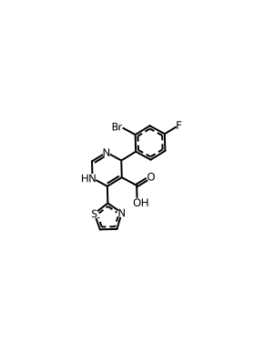 O=C(O)C1=C(c2nccs2)NC=NC1c1ccc(F)cc1Br